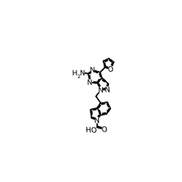 Nc1nc(-c2ccco2)c2cnn(Cc3cccc4c3ccn4C(=O)O)c2n1